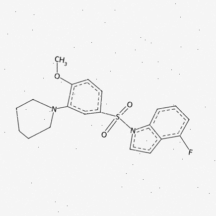 COc1ccc(S(=O)(=O)n2ccc3c(F)cccc32)cc1N1CCCCC1